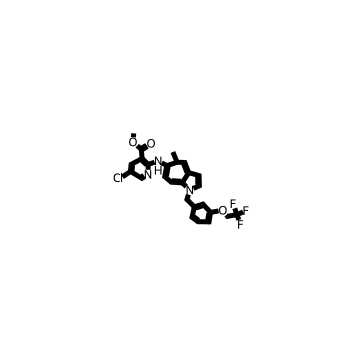 COC(=O)c1cc(Cl)cnc1NC1=CC=c2c(ccn2Cc2cccc(OCC(F)(F)F)c2)=CC1C